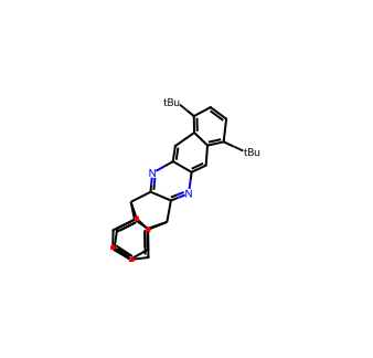 CC(C)(C)c1ccc(C(C)(C)C)c2cc3nc4c(nc3cc12)C1c2ccccc2C4c2ccccc21